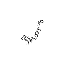 CC(C)(C)C1C(Nc2nc(C(=O)Nc3ccc4nn(CC(=O)N5CCN(C(=O)c6ccccc6)CC5)cc4c3)cs2)CN1C(=O)O